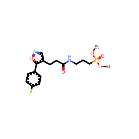 CCOP(=O)(CCCNC(=O)CCc1cnoc1-c1ccc(F)cc1)OCC